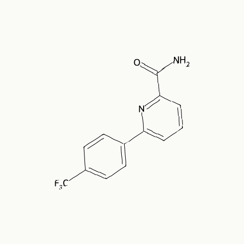 NC(=O)c1cccc(-c2ccc(C(F)(F)F)cc2)n1